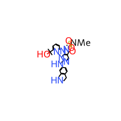 CNS(=O)(=O)Cn1c(=O)c2cnc(Nc3ccc4c(c3)CNCC4)nc2n1-c1cccc(C(C)(C)O)n1